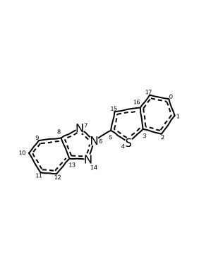 c1ccc2sc(-n3nc4ccccc4n3)cc2c1